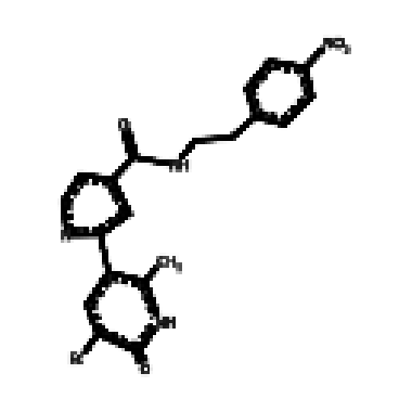 CCc1cc(-c2cc(C(=O)NCCc3ccc([N+](=O)[O-])cc3)ccn2)c(C)[nH]c1=O